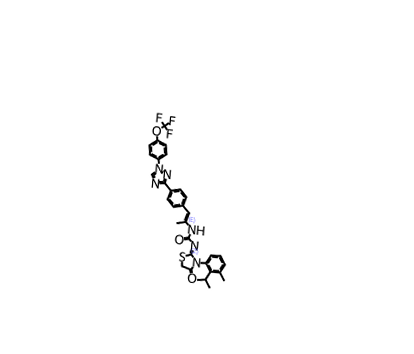 C/C(=C\c1ccc(-c2ncn(-c3ccc(OC(F)(F)F)cc3)n2)cc1)NC(=O)/N=C1\SCC(=O)N1c1cccc(C)c1C(C)C